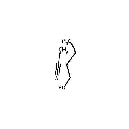 CC#N.CCCCO